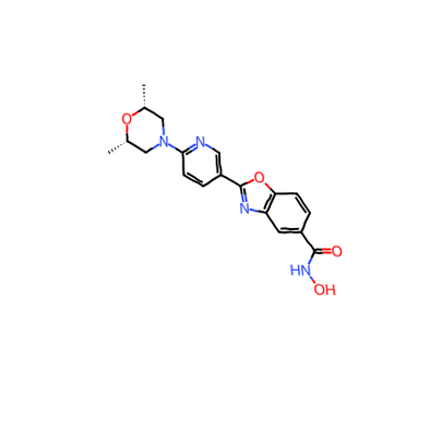 C[C@@H]1CN(c2ccc(-c3nc4cc(C(=O)NO)ccc4o3)cn2)C[C@H](C)O1